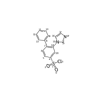 O=S(=O)(Cl)c1ccc(-c2ccccc2)c(-n2ccnc2)c1